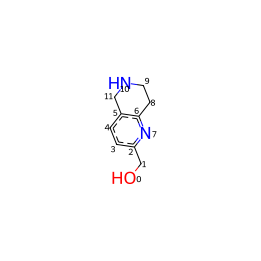 OCc1ccc2c(n1)CCNC2